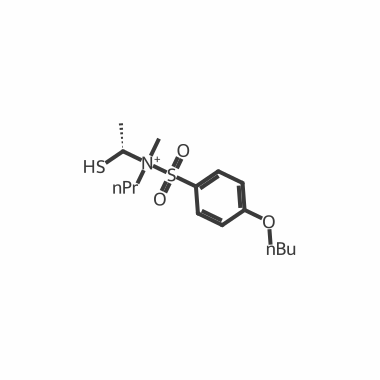 CCCCOc1ccc(S(=O)(=O)[N+](C)(CCC)[C@@H](C)S)cc1